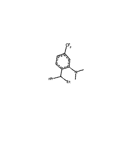 CCCC(CC)c1ccc(C(F)(F)F)cc1N(C)C